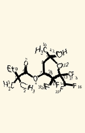 CCC(C)(C)C(=O)OC1CC(C)(O)OC(C(F)F)(C(F)(F)F)C1(F)F